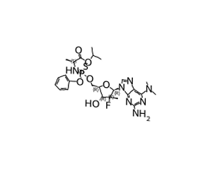 CC(C)OC(=O)[C@H](C)N[P@](=S)(OC[C@H]1O[C@@H](n2cnc3c(N(C)C)nc(N)nc32)[C@](C)(F)[C@@H]1O)Oc1ccccc1